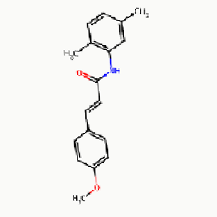 COc1ccc(C=CC(=O)Nc2cc(C)ccc2C)cc1